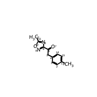 Cc1ccc(CC(=O)c2noc(C)n2)cc1